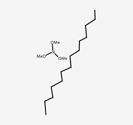 CCCCCCCCCCCCCC.CO[Si](OC)OC